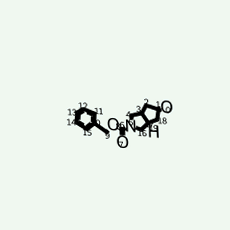 O=C1CC2CN(C(=O)OCc3ccccc3)C[C@@H]2C1